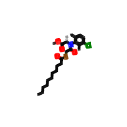 CCCCCCCCCCC(=O)SCC(=O)N(c1c(C)ccc(Cl)c1C)[C@@H](C)C(=O)OC